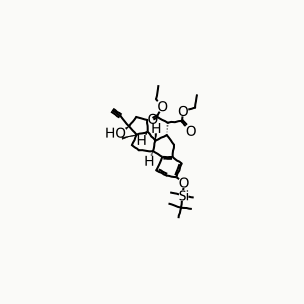 C#C[C@]1(O)CC[C@H]2[C@H]3[C@H](CC[C@@]21C)c1ccc(O[Si](C)(C)C(C)(C)C)cc1C[C@H]3C(C(=O)OCC)C(=O)OCC